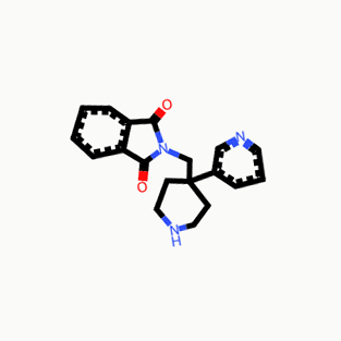 O=C1c2ccccc2C(=O)N1CC1(c2cccnc2)CCNCC1